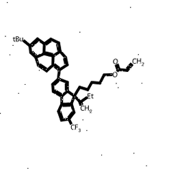 C=CC(=O)OCCCCCC1(C(=C)CC)c2cc(-c3ccc4ccc5cc(C(C)(C)C)cc6ccc3c4c56)ccc2-c2ccc(C(F)(F)F)cc21